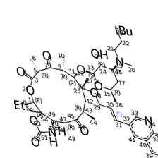 CC[C@H]1OC(=O)[C@H](C)C(=O)[C@H](C)[C@@H](O[C@@H]2O[C@H](C)C[C@H](N(C)CCC(C)(C)C)[C@H]2O)[C@](C)(OC/C=C/c2cnc3ccccc3c2)C[C@@H](C)C(=O)[C@H](C)[C@H]2NC(=O)O[C@@]21C